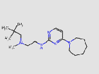 CN(CCNc1nccc(N2CCCCCC2)n1)CC(C)(C)C